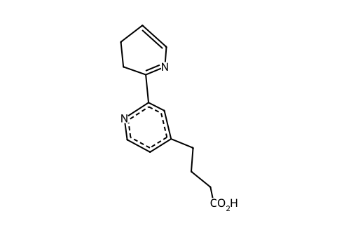 O=C(O)CCCc1ccnc(C2=NC=CCC2)c1